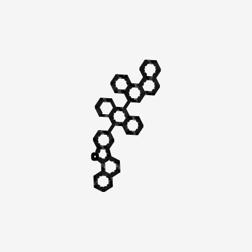 C1=C=Cc2c(c(-c3ccc4oc5c6ccccc6ccc5c4c3)c3ccccc3c2-c2cc3ccc4ccccc4c3c3ccccc23)C=1